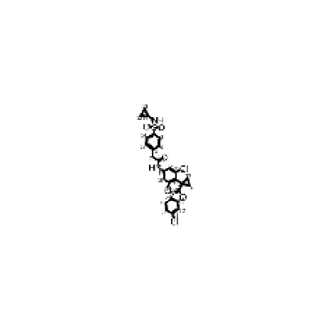 O=C(Cc1ccc(S(=O)(=O)NC2CC2)cc1)Nc1cc(Cl)c(C2(c3nc4ccc(Cl)cc4o3)CC2)c(Cl)c1